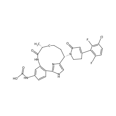 C[C@@H]1CCC[C@H](N2CCC(c3c(F)ccc(Cl)c3F)=CC2=O)c2c[nH]c(n2)-c2ccc(NC(=O)O)cc2NC1=O